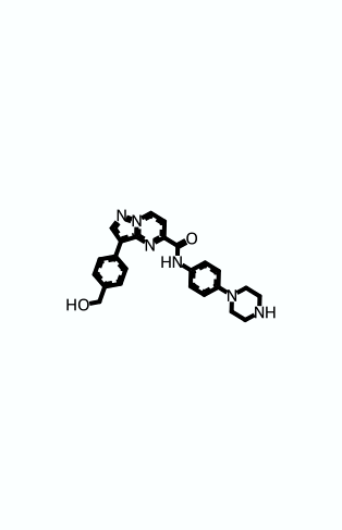 O=C(Nc1ccc(N2CCNCC2)cc1)c1ccn2ncc(-c3ccc(CO)cc3)c2n1